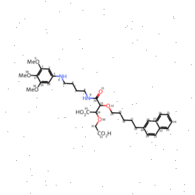 COc1cc(NCCCCNC(=O)C(OCCCCCc2ccc3ccccc3c2)C(OCC(=O)O)C(=O)O)cc(OC)c1OC